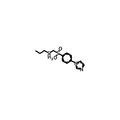 CCC[SiH2]CS(=O)(=O)c1ccc(-n2ccnc2)cc1